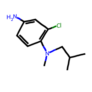 CC(C)CN(C)c1ccc(N)cc1Cl